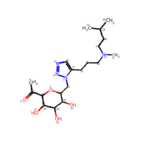 CC(=O)C1OC(Cn2nncc2CCCN(C)CCC(C)C)C(O)C(O)C1O